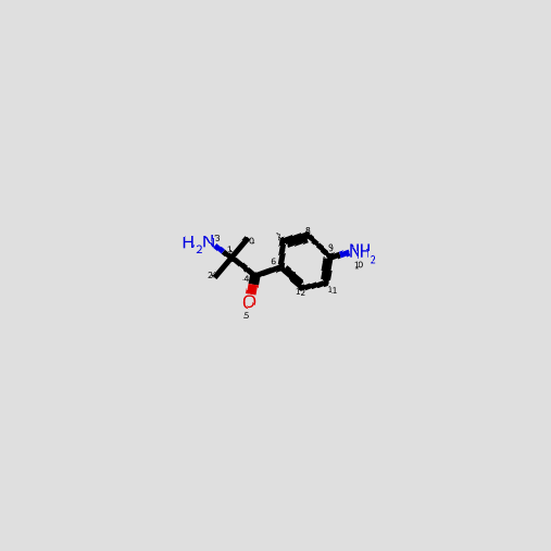 CC(C)(N)C(=O)c1ccc(N)cc1